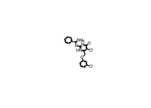 N=C(/N=c1/[nH]c(COc2cccc(Cl)c2)c(Cl)c(=O)[nH]1)c1ccccc1